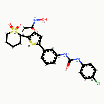 O=C(C[C@]1(c2ccc(-c3cccc(NC(=O)Nc4ccc(Cl)cc4)c3)s2)CCCCS1(=O)=O)NO